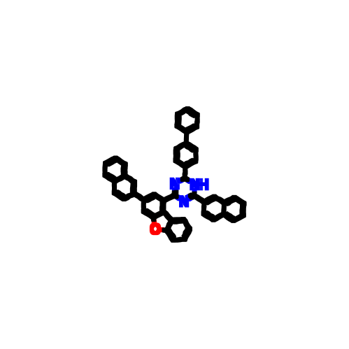 c1ccc(-c2ccc(C3N=C(c4cc(-c5ccc6ccccc6c5)cc5oc6ccccc6c45)N=C(c4ccc5ccccc5c4)N3)cc2)cc1